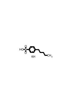 CCCCCc1ccc(S(=O)(=O)O)cc1.[KH]